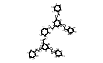 c1ccc(COc2cc(COc3cccc(OCc4cc(OCc5ccccc5)cc(OCc5ccccc5)c4)c3)cc(OCc3ccccc3)c2)cc1